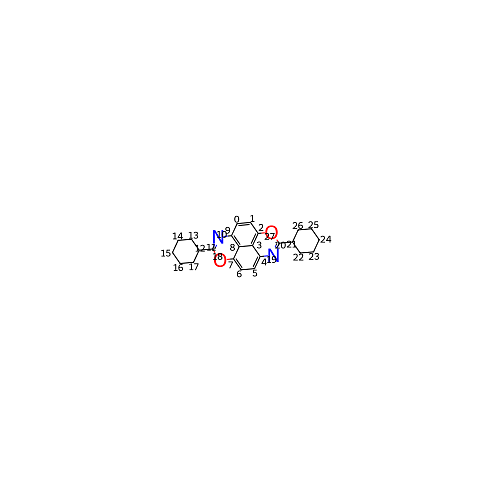 c1cc2c3c(ccc4c3c1N=C(C1CCCCC1)O4)N=C(C1CCCCC1)O2